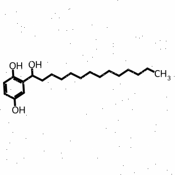 CCCCCCCCCCCCCC(O)c1cc(O)ccc1O